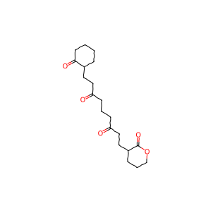 O=C(CCCC(=O)CCC1CCCOC1=O)CCC1CCCCC1=O